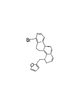 Brc1cccc2c1CCc1c-2ccc2c1C(Cc1ccco1)CC=C2